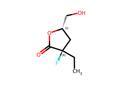 CC[C@@]1(F)C[C@@H](CO)OC1=O